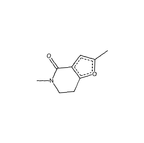 Cc1cc2c(o1)CCN(C)C2=O